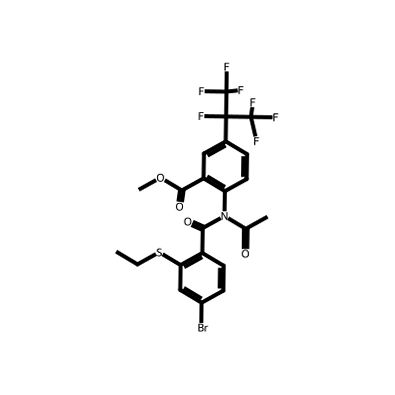 CCSc1cc(Br)ccc1C(=O)N(C(C)=O)c1ccc(C(F)(C(F)(F)F)C(F)(F)F)cc1C(=O)OC